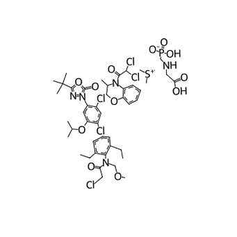 CC(C)Oc1cc(-n2nc(C(C)(C)C)oc2=O)c(Cl)cc1Cl.CC1COc2ccccc2N1C(=O)C(Cl)Cl.CCc1cccc(CC)c1N(COC)C(=O)CCl.C[S+](C)C.O=C(O)CNCP(=O)([O-])O